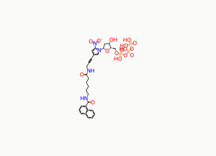 O=C(CCCCCNC(=O)c1cccc2ccccc12)NCC#Cc1cc([N+](=O)[O-])n([C@H]2CC(O)[C@@H](COP(=O)(O)OP(=O)(O)OP(=O)(O)O)O2)c1